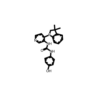 CC1(C)CN(c2ccncc2NC(=O)Nc2ccc(O)cc2)c2ccccc21